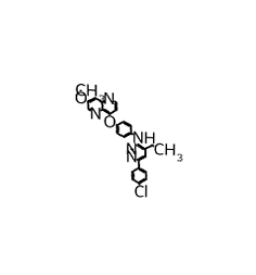 CCc1cc(-c2ccc(Cl)cc2)nnc1Nc1ccc(Oc2ccnc3cc(OC)cnc23)cc1